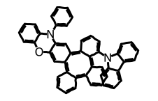 c1ccc(-n2c3ccccc3oc3cc4c5ccccc5c5ccccc5c5c(-n6c7ccccc7c7ccccc76)cccc5c4cc32)cc1